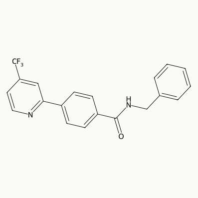 O=C(NCc1ccccc1)c1ccc(-c2cc(C(F)(F)F)ccn2)cc1